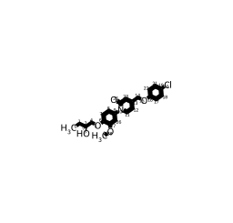 CC[C@@H](O)COc1ccc(-n2ccc(COc3ccc(Cl)cc3)cc2=O)cc1OC